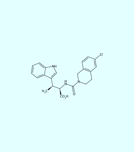 C[C@@H](c1c[nH]c2ccccc12)[C@@H](NC(=O)N1CCc2cc(Cl)ccc2C1)C(=O)O